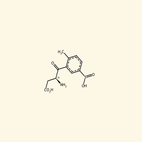 Cc1ccc(S(=O)O)cc1C(=O)[C@@H](N)CC(=O)O